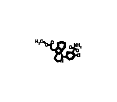 CCOC(=O)Cc1c2n(c3ccccc13)C(c1ccc(Cl)c(S(N)(=O)=O)c1)=NCC2